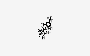 C/C(Nc1c(Cl)cc(C(F)(F)F)cc1Cl)=C(/C(=N)C#N)[S+]([O-])C(F)(F)F